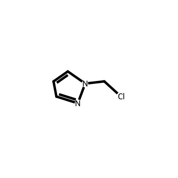 ClCn1cccn1